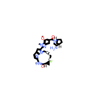 COc1cc(C(=O)N2C[C@H](N)[C@@H]3CC[C@H]2C3)cc2nc(-c3cc4ccc5nc4n3CCCCC[C@]3(F)C[C@H]3C(=O)N[C@@H]5C)n(C)c12